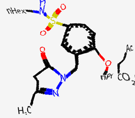 CCCCCCNS(=O)(=O)c1ccc(OCCC)c(CN2N=C(C)CC2=O)c1.CCOC(=O)CC(C)=O